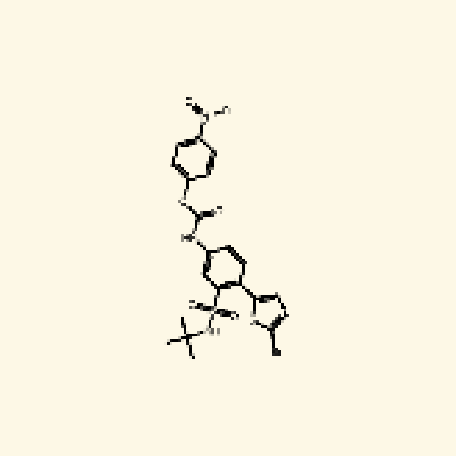 CC(C)(C)NS(=O)(=O)c1cc(NC(=O)Oc2ccc([N+](=O)[O-])cc2)ccc1-c1cnc(Br)s1